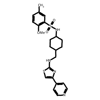 COc1ccc(C)cc1S(=O)(=O)NC1CCC(CNc2nc(-c3ccncc3)cs2)CC1